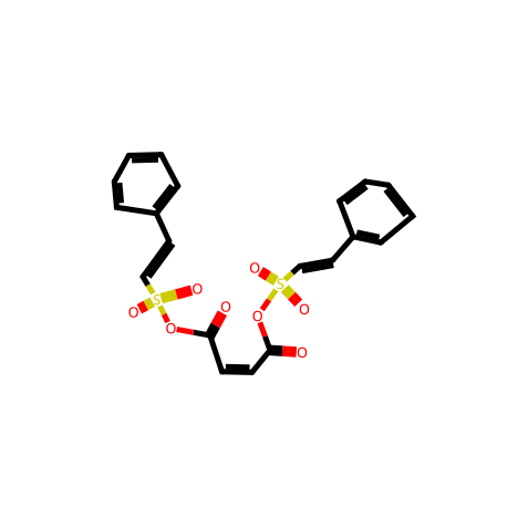 O=C(/C=C\C(=O)OS(=O)(=O)C=Cc1ccccc1)OS(=O)(=O)C=Cc1ccccc1